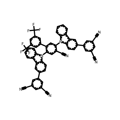 N#Cc1cc(C#N)cc(-c2ccc3c(c2)c2ccccc2n3-c2cc(-c3cc(C(F)(F)F)cc(C(F)(F)F)c3)c(-n3c4ccccc4c4cc(-c5cc(C#N)cc(C#N)c5)ccc43)cc2C#N)c1